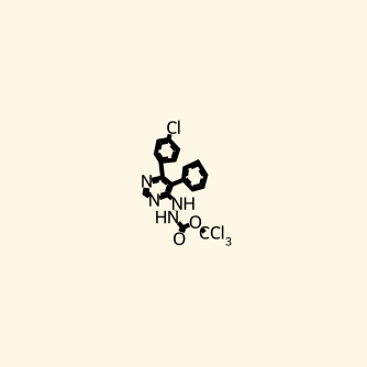 O=C(NNc1ncnc(-c2ccc(Cl)cc2)c1-c1ccccc1)OC(Cl)(Cl)Cl